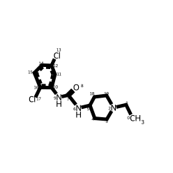 CCN1CCC(NC(=O)Nc2cc(Cl)ccc2Cl)CC1